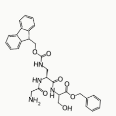 NCC(=O)N[C@@H](CNC(=O)OCC1c2ccccc2-c2ccccc21)C(=O)NC(CO)C(=O)OCc1ccccc1